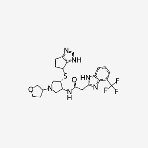 O=C(Cc1nc2c(C(F)(F)F)cccc2[nH]1)NC1CN(C2CCOC2)C[C@@H]1SC1CCc2nc[nH]c21